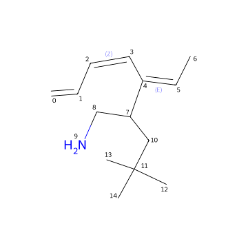 C=C/C=C\C(=C/C)C(CN)CC(C)(C)C